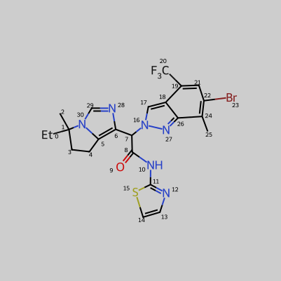 CCC1(C)CCc2c(C(C(=O)Nc3nccs3)n3cc4c(C(F)(F)F)cc(Br)c(C)c4n3)ncn21